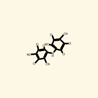 N#Cc1c(Cl)c(Cl)c(Nc2c(Cl)c(Cl)c(C#N)c(Cl)c2C#N)c(C#N)c1Cl